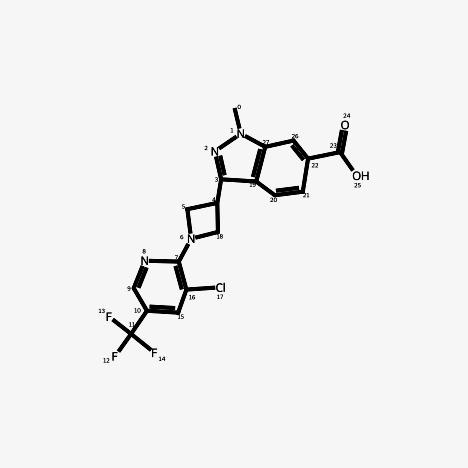 Cn1nc(C2CN(c3ncc(C(F)(F)F)cc3Cl)C2)c2ccc(C(=O)O)cc21